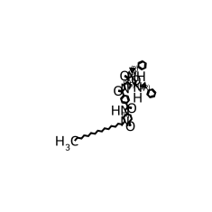 CCCCCCCCCCCCCCCN1C[C@H](NC(=O)c2ccc(C(=O)N3C[C@@H](C(=O)N[C@H]4C[C@@H]4c4ccccc4)[C@H](C(=O)N[C@H]4C[C@@H]4c4ccccc4)C3)cc2)CCC1=O